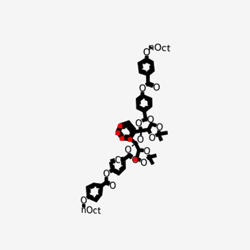 CCCCCCCCOc1ccc(C(=O)Oc2ccc(C(=O)O[C@@](O[C@](OC(=O)c3ccc(OC(=O)c4ccc(OCCCCCCCC)cc4)cc3)(c3ccccc3)C3COC(C)(C)O3)(c3ccccc3)C3COC(C)(C)O3)cc2)cc1